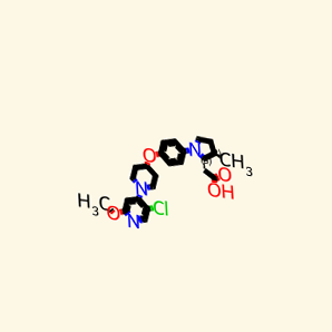 COc1cc(N2CCC(Oc3ccc(N4CC[C@@H](C)[C@@H]4CC(=O)O)cc3)CC2)c(Cl)cn1